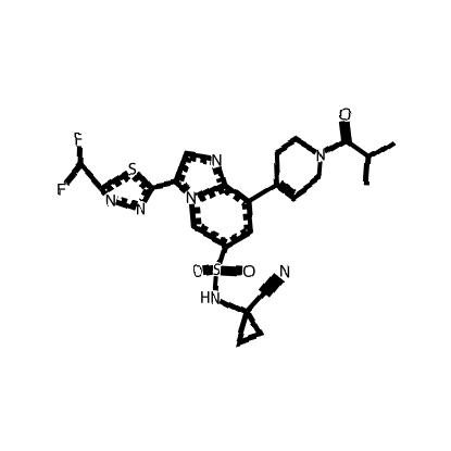 CC(C)C(=O)N1CC=C(c2cc(S(=O)(=O)NC3(C#N)CC3)cn3c(-c4nnc(C(F)F)s4)cnc23)CC1